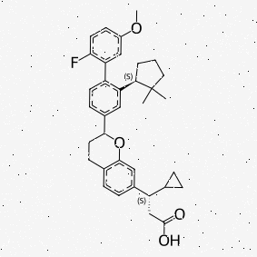 COc1ccc(F)c(-c2ccc(C3CCc4ccc([C@@H](CC(=O)O)C5CC5)cc4O3)cc2[C@H]2CCCC2(C)C)c1